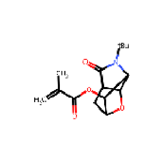 C=C(C)C(=O)OC1C2CC3C(=O)N(C(C)(C)C)C1C3O2